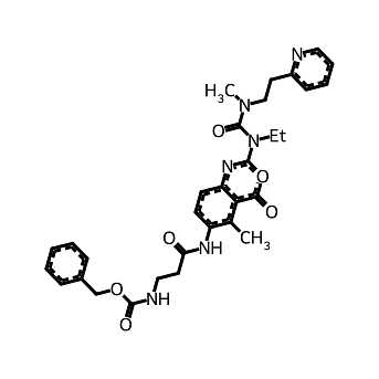 CCN(C(=O)N(C)CCc1ccccn1)c1nc2ccc(NC(=O)CCNC(=O)OCc3ccccc3)c(C)c2c(=O)o1